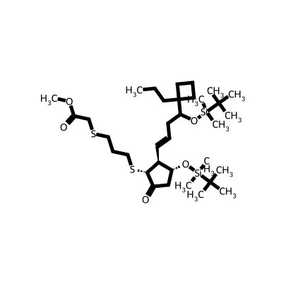 CCCC1(C(CC=C[C@H]2[C@H](O[Si](C)(C)C(C)(C)C)CC(=O)[C@@H]2SCCCSCC(=O)OC)O[Si](C)(C)C(C)(C)C)CCC1